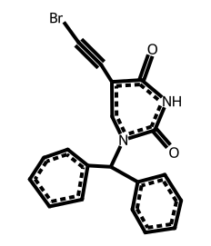 O=c1[nH]c(=O)n(C(c2ccccc2)c2ccccc2)cc1C#CBr